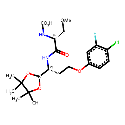 COC[C@@H](NC(=O)O)C(=O)N[C@H](CCOc1ccc(Cl)c(F)c1)B1OC(C)(C)C(C)(C)O1